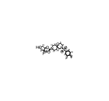 Cc1cc(S(=O)(=O)N2CCOC3(CCN(C(=O)O[C@H](CO)C(F)(F)F)CC3)C2)ccc1F